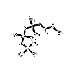 C[Si](C)(C)O[Si](C)(C)O[Si](C)(C)O[SiH2]O[SiH3]